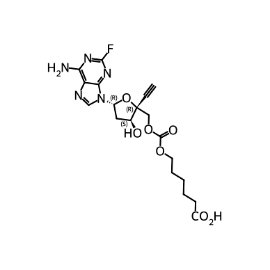 C#C[C@]1(COC(=O)OCCCCCC(=O)O)O[C@@H](n2cnc3c(N)nc(F)nc32)C[C@@H]1O